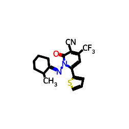 CC1CCCCC1=Nn1c(-c2cccs2)cc(C(F)(F)F)c(C#N)c1=O